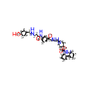 O=C(CCNCCc1ccc(O)cc1)Nc1cccc(C(=O)CNCCN2CCC(OC(=O)Nc3ccccc3-c3ccccc3)CC2)c1